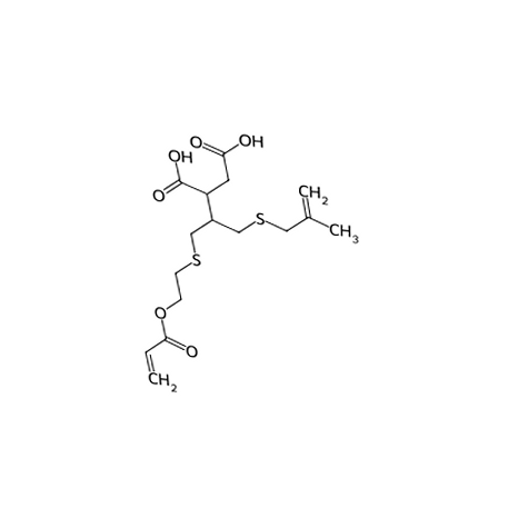 C=CC(=O)OCCSCC(CSCC(=C)C)C(CC(=O)O)C(=O)O